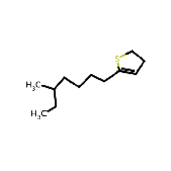 CCC(C)CCCCC1=CCCS1